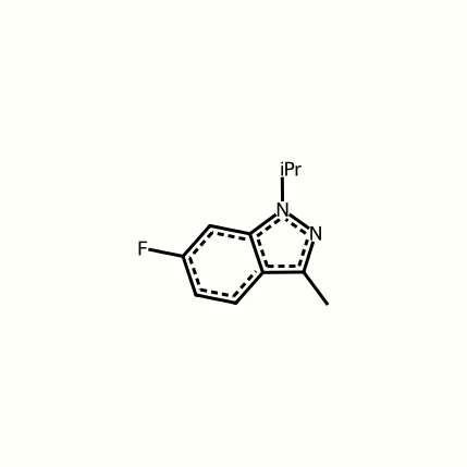 Cc1nn(C(C)C)c2cc(F)ccc12